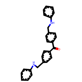 O=C(c1ccc(CNc2ccccc2)cc1)c1ccc(CNc2ccccc2)cc1